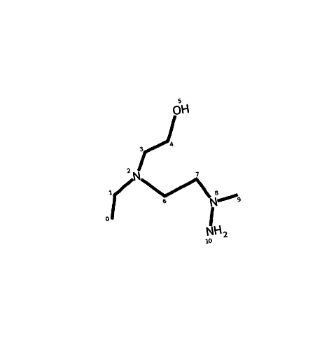 CCN(CCO)CCN(C)N